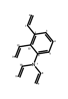 C=Cc1cccc(N(C=C)C=C)c1C=C